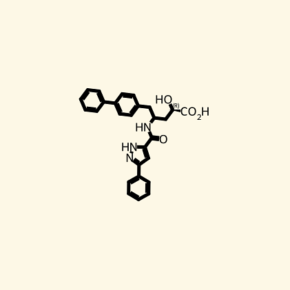 O=C(NC(Cc1ccc(-c2ccccc2)cc1)C[C@@H](O)C(=O)O)c1cc(-c2ccccc2)n[nH]1